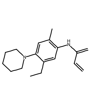 C=CC(=C)Nc1cc(CC)c(N2CCCCC2)cc1C